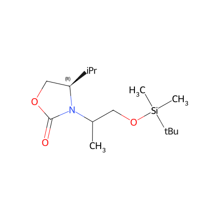 CC(C)[C@@H]1COC(=O)N1C(C)CO[Si](C)(C)C(C)(C)C